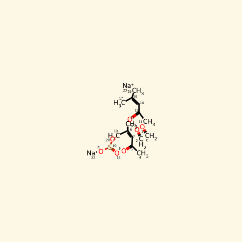 C=O.C=O.CC(=O)C=C(C)C.CC(=O)C=C(C)C.O=S([O-])[O-].[Na+].[Na+]